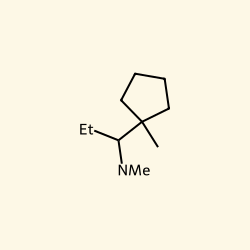 CCC(NC)C1(C)CCCC1